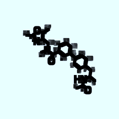 CC(=O)NC(C)Cc1ccc(-c2cccc(C(=O)N(C)Cc3nc(C)oc3C)c2)cc1